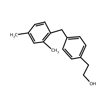 Cc1c[c]c(Cc2ccc(CCO)cc2)c(C)c1